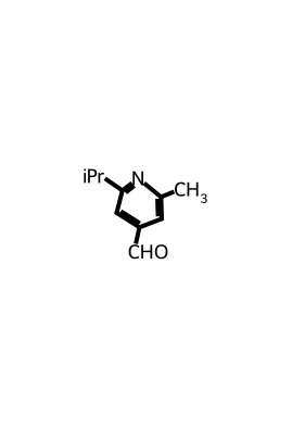 Cc1cc(C=O)cc(C(C)C)n1